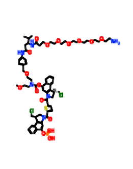 COCCN(CCOCc1ccc(NC(=O)CC(NC(=O)CCOCCOCCOCCOCCOCCOCCN)C(C)C)cc1)C(=O)Oc1cc2c(c3ccccc13)[C@H](CCl)CN2C(=O)c1ccc(C(=O)N2CC(CCl)c3c2cc(OP(O)O)c2ccccc32)s1